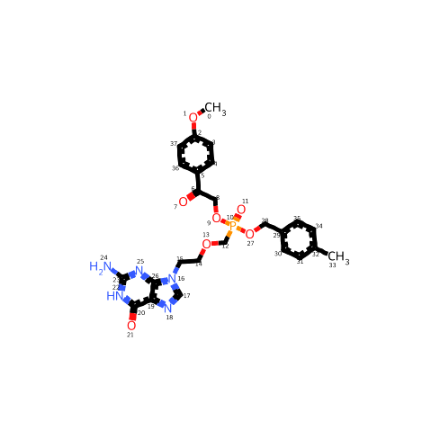 COc1ccc(C(=O)COP(=O)(COCCn2cnc3c(=O)[nH]c(N)nc32)OCc2ccc(C)cc2)cc1